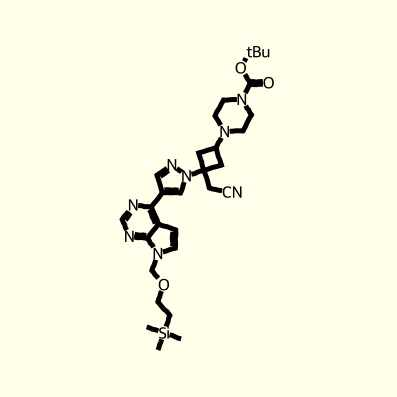 CC(C)(C)OC(=O)N1CCN(C2CC(CC#N)(n3cc(-c4ncnc5c4ccn5COCC[Si](C)(C)C)cn3)C2)CC1